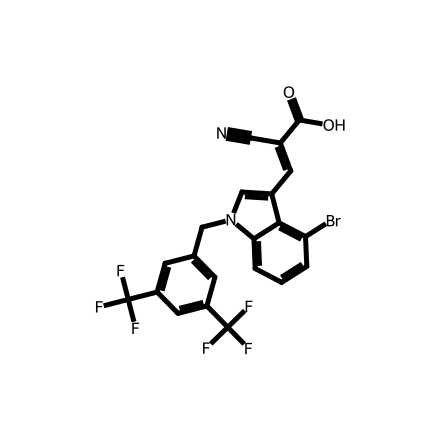 N#C/C(=C\c1cn(Cc2cc(C(F)(F)F)cc(C(F)(F)F)c2)c2cccc(Br)c12)C(=O)O